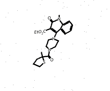 CCOC(=O)c1c(N2CCN(C(=O)C3(C)CCCS3)CC2)c2ccccc2n(C)c1=O